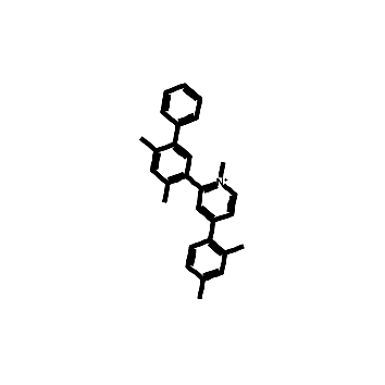 Cc1ccc(-c2cc[n+](C)c(-c3cc(-c4ccccc4)c(C)cc3C)c2)c(C)c1